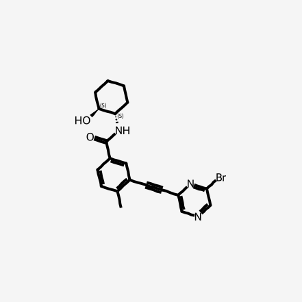 Cc1ccc(C(=O)N[C@H]2CCCC[C@@H]2O)cc1C#Cc1cncc(Br)n1